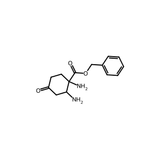 NC1CC(=O)CCC1(N)C(=O)OCc1ccccc1